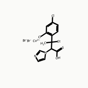 CCC(C)(c1ccc(Cl)cc1Cl)C(C(O)=S)n1ccnc1.[Br-].[Br-].[Co+2]